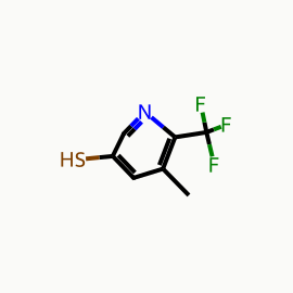 Cc1cc(S)cnc1C(F)(F)F